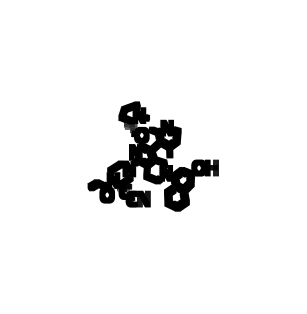 C=CC(=O)N1CCN(c2nc(OC[C@@H]3CCCN3C)c(-c3c(C)ccnc3C)c3c2CCN(c2cc(O)cc4ccccc24)C3)C[C@@H]1CC#N